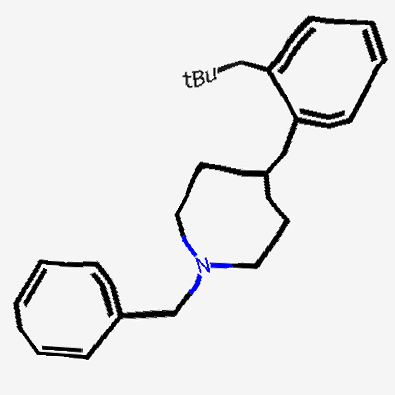 CC(C)(C)c1ccccc1C1CCN(Cc2ccccc2)CC1